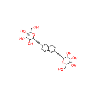 OCC1OC(C#Cc2ccc3cc(C#CC4OC(CO)[C@@H](O)C(O)C4O)ccc3c2)C(O)C(O)[C@@H]1O